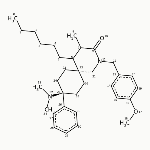 CCCCCCC1C(C)C(=O)N(Cc2ccc(OC)cc2)C[C@]12CC[C@](c1ccccc1)(N(C)C)CC2